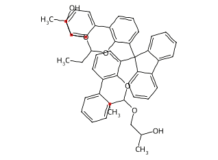 CCC(OCC(C)O)Oc1c(-c2ccccc2)cccc1C1(c2cccc(-c3ccccc3)c2OC(CC)OCC(C)O)c2ccccc2-c2ccccc21